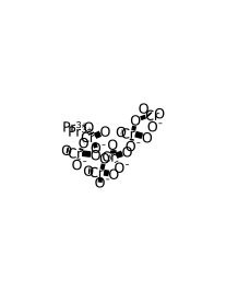 [O]=[Cr](=[O])([O-])[O][Cr](=[O])(=[O])[O-].[O]=[Cr](=[O])([O-])[O][Cr](=[O])(=[O])[O-].[O]=[Cr](=[O])([O-])[O][Cr](=[O])(=[O])[O-].[Pr+3].[Pr+3]